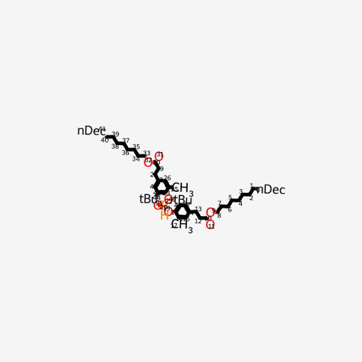 CCCCCCCCCCCCCCCCCCOC(=O)CCc1cc(C)c(O[PH](=O)Oc2c(C)cc(CCC(=O)OCCCCCCCCCCCCCCCCCC)cc2C(C)(C)C)c(C(C)(C)C)c1